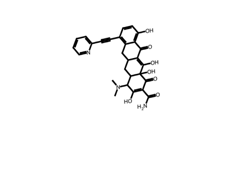 CN(C)C1C(O)=C(C(N)=O)C(=O)C2(O)C(O)=C3C(=O)c4c(O)ccc(C#Cc5ccccn5)c4CC3CC12